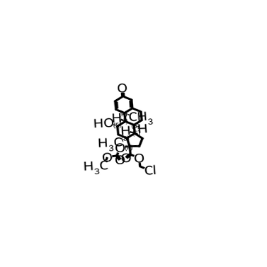 COC(=O)O[C@]1(C(=O)OCCl)CC[C@H]2[C@@H]3CCC4=CC(=O)C=C[C@]4(C)[C@H]3[C@@H](O)C[C@@]21C